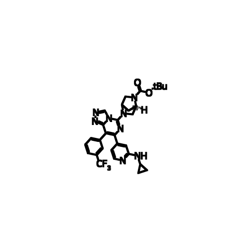 CC(C)(C)OC(=O)N1CC2C[C@@H]1CN2c1nc(-c2ccnc(NC3CC3)c2)c(-c2cccc(C(F)(F)F)c2)c2nncn12